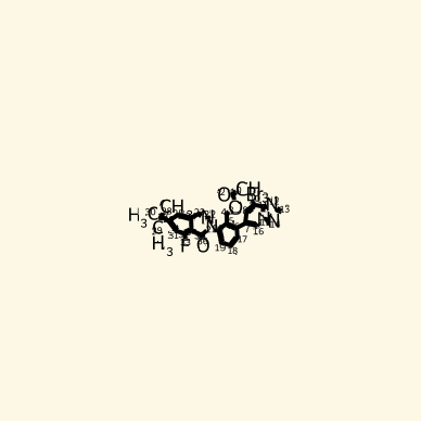 CC(=O)OCc1c(-c2cc(Br)c3ncnn3c2)cccc1-n1ncc2cc(C(C)(C)C)cc(F)c2c1=O